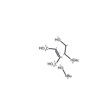 CCCCCCCCCCCCO.CCCCO.O=C(O)/C=C\C(=O)O